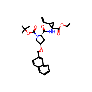 C=CC1CC1(NC(=O)[C@@H]1C[C@@H](OCc2ccc3ccccc3c2)CN1C(=O)OC(C)(C)C)C(=O)OCC